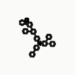 c1ccc(-c2ccc(N(c3ccc(-c4ccc(-c5ccc6oc7ccccc7c6c5)c(-c5ccccc5)c4)cc3)c3ccc(-c4ccccc4)c(-c4ccccc4)c3)cc2)cc1